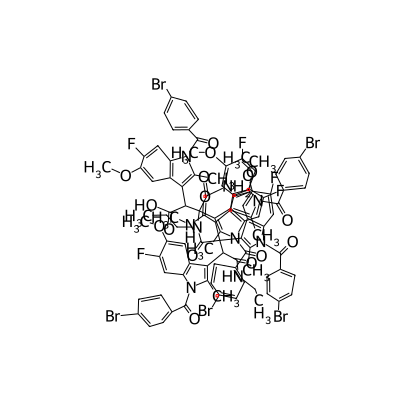 CCCN(C(=O)C(c1c(C)n(C(=O)c2ccc(Br)cc2)c2cc(F)c(OC)cc12)(C(C(=O)NC)c1c(C)n(C(=O)c2ccc(Br)cc2)c2cc(F)c(OC)cc12)C(C(=O)NCC)c1c(C)n(C(=O)c2ccc(Br)cc2)c2cc(F)c(OC)cc12)C(C(N)=O)(c1c(C)n(C(=O)c2ccc(Br)cc2)c2cc(F)c(OC)cc12)C(C(=O)O)c1c(C)n(C(=O)c2ccc(Br)cc2)c2cc(F)c(OC)cc12